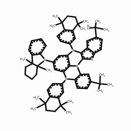 CC(C)(C)c1ccc2c(c1)B1c3sc4ccc(C(C)(C)C)cc4c3N(c3ccc4c(c3)C(C)(C)CCC4(C)C)c3cc(N4c5ccccc5C5(C)CCCCC45C)cc(c31)N2c1ccc2c(c1)C(C)(C)CCC2(C)C